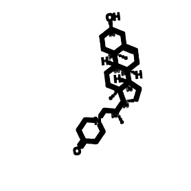 C[C@H](CN1CCC(=O)CC1)[C@H]1CC[C@H]2[C@@H]3CC=C4C[C@H](O)CC[C@]4(C)[C@H]3CC[C@]12C